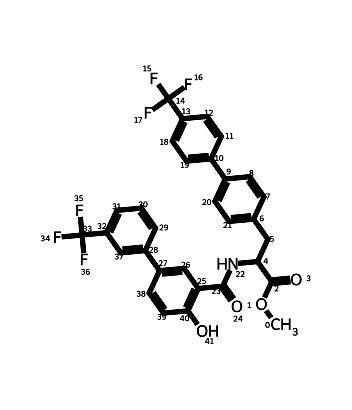 COC(=O)C(Cc1ccc(-c2ccc(C(F)(F)F)cc2)cc1)NC(=O)c1cc(-c2cccc(C(F)(F)F)c2)ccc1O